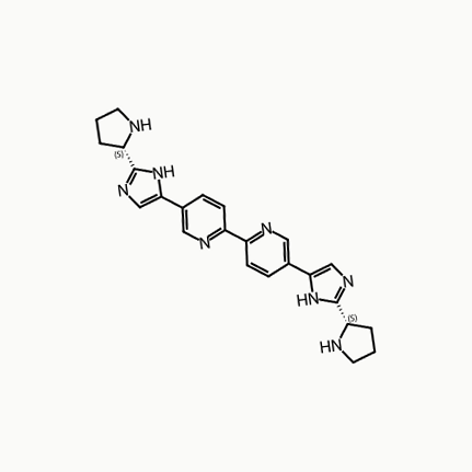 c1cc(-c2ccc(-c3cnc([C@@H]4CCCN4)[nH]3)cn2)ncc1-c1cnc([C@@H]2CCCN2)[nH]1